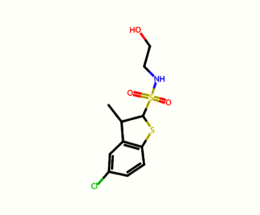 CC1c2cc(Cl)ccc2SC1S(=O)(=O)NCCO